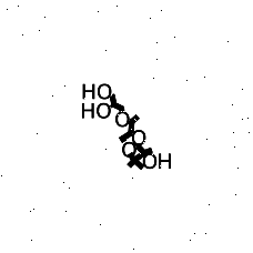 CC(OC[C@@H](O)CO)C1COC(C(C)(O)C(C)(C)C)O1